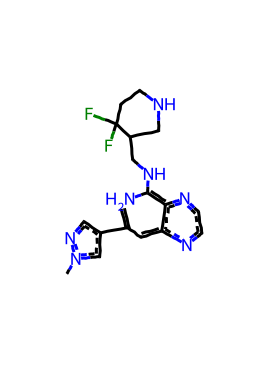 C=C(/C=c1/nccn/c1=C(/N)NCC1CNCCC1(F)F)c1cnn(C)c1